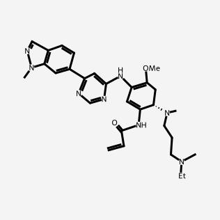 C=CC(=O)NC1=CC(Nc2cc(-c3ccc4cnn(C)c4c3)ncn2)=C(OC)C[C@@H]1N(C)CCCN(C)CC